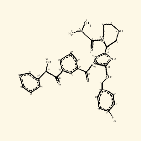 CN(C)C(=O)N1CCNCC1c1nc(OCc2ccc(F)cc2)n(C(=O)c2cccc(C(=O)C(O)c3ccccc3)c2)n1